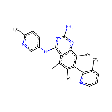 CCCc1c(-c2ncccc2C(F)(F)F)c(CCC)c2nc(N)nc(Nc3ccc(C(F)(F)F)nc3)c2c1C